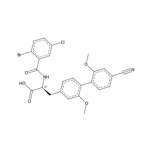 COc1cc(C#N)ccc1-c1ccc(C[C@H](NC(=O)c2cc(Cl)ccc2Br)C(=O)O)cc1OC